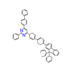 C/C=C\C(=C/C)C1(C2C=CC=CC2)c2ccccc2-c2ccc(C3=CC=C(C4=CCC(c5cc(-c6ccc(-c7ccccc7)cc6)nc(-c6ccccc6)n5)C=C4)CC3)cc21